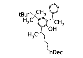 CCCCCCCCCCCCCCC(C)c1cc(C(C)(C)CC(C)(C)C)cc(C(C)c2ccccc2)c1O